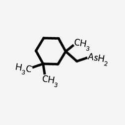 CC1(C)CCCC(C)(C[AsH2])C1